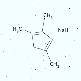 CC1=CC(C)=C(C)C1.[NaH]